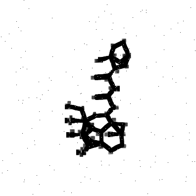 CC(C)C[C@]1(C)C[C@@H](OC(=O)NC(=O)[C@H]2CN3CC[C@@H]2C3)[C@]23C[C@@H]2CCC2(CCC(=O)C23)[C@@H](C)[C@@H]1O